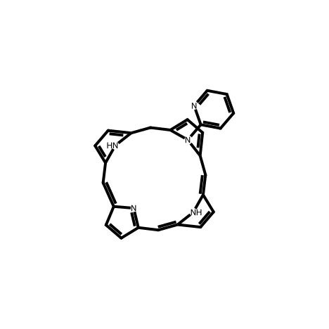 C1=CC2=NC1=Cc1ccc([nH]1)Cc1ccc(n1-c1ccccn1)C=c1ccc([nH]1)=C2